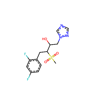 CS(=O)(=O)C(Cc1ccc(F)cc1F)C(O)Cn1cncn1